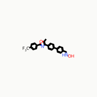 Cc1oc(-c2ccc(C(F)(F)F)cc2)nc1-c1ccc(-c2ccc(CNO)cc2)cc1